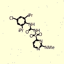 CNc1nccc(S(=O)(=O)NC(=O)Nc2c(C(C)C)cc(Cl)cc2C(C)C)n1